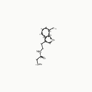 CSCC(=O)NCCc1coc2c(F)cccc12